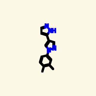 Cc1ccc(-n2cc(-c3ccn[nH]3)cn2)cc1C